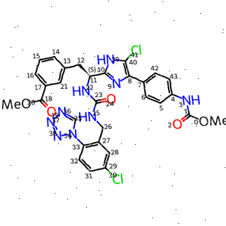 COC(=O)Nc1ccc(-c2nc([C@H](Cc3cccc(C(=O)OC)c3)NC(=O)NCc3cc(Cl)ccc3-n3cnnn3)[nH]c2Cl)cc1